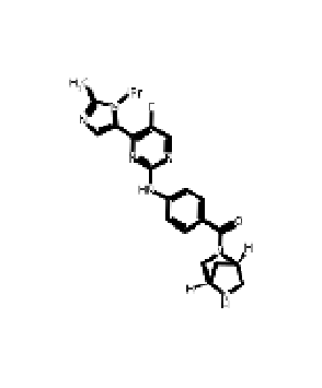 Cc1ncc(-c2nc(Nc3ccc(C(=O)N4C[C@@H]5C[C@H]4CN5)cc3)ncc2F)n1C(C)C